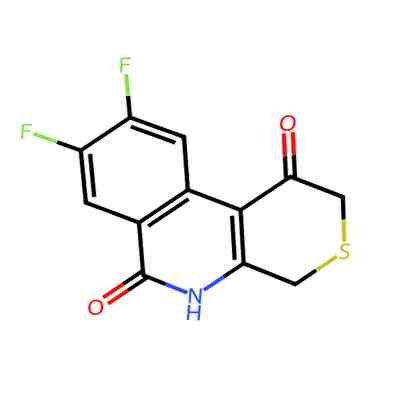 O=C1CSCc2[nH]c(=O)c3cc(F)c(F)cc3c21